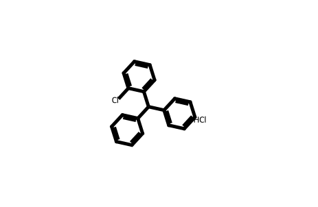 Cl.Clc1ccccc1C(c1ccccc1)c1ccccc1